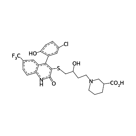 O=C(O)C1CCCN(CCC(O)CSc2c(-c3cc(Cl)ccc3O)c3cc(C(F)(F)F)ccc3[nH]c2=O)C1